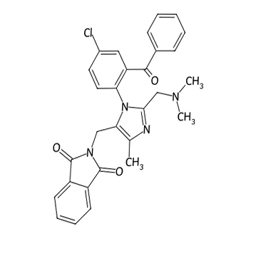 Cc1nc(CN(C)C)n(-c2ccc(Cl)cc2C(=O)c2ccccc2)c1CN1C(=O)c2ccccc2C1=O